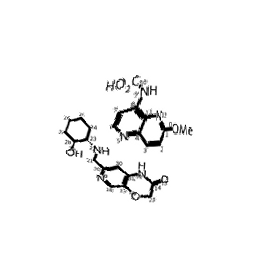 COc1ccc2nccc(NC(=O)O)c2n1.O=C1COc2cnc(CN[C@H]3CCCC[C@@H]3O)cc2N1